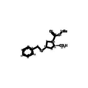 CCCCOC(=O)N1C[C@H](OCc2ccccc2)C[C@H]1C(=O)O